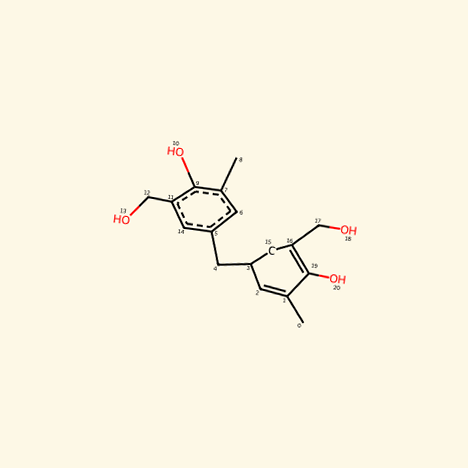 CC1=CC(Cc2cc(C)c(O)c(CO)c2)CC(CO)=C1O